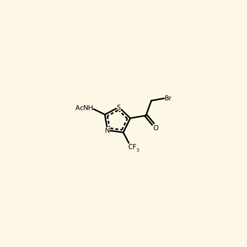 CC(=O)Nc1nc(C(F)(F)F)c(C(=O)CBr)s1